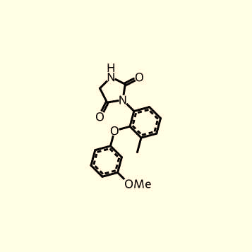 COc1cccc(Oc2c(C)cccc2N2C(=O)CNC2=O)c1